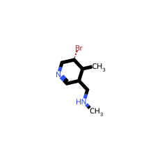 CNCC1C=NC[C@H](Br)C1C